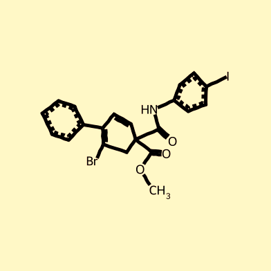 COC(=O)C1(C(=O)Nc2ccc(I)cc2)C=CC(c2ccccc2)=C(Br)C1